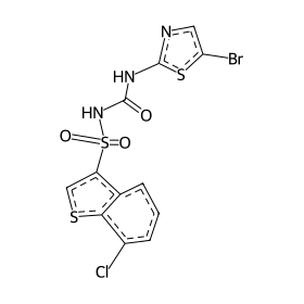 O=C(Nc1ncc(Br)s1)NS(=O)(=O)c1csc2c(Cl)cccc12